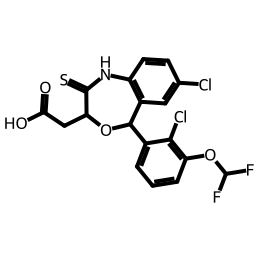 O=C(O)CC1OC(c2cccc(OC(F)F)c2Cl)c2cc(Cl)ccc2NC1=S